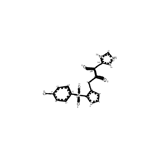 O=C(Cc1ccoc1S(=O)(=O)c1ccc(Cl)cc1)C(=O)c1nc[nH]n1